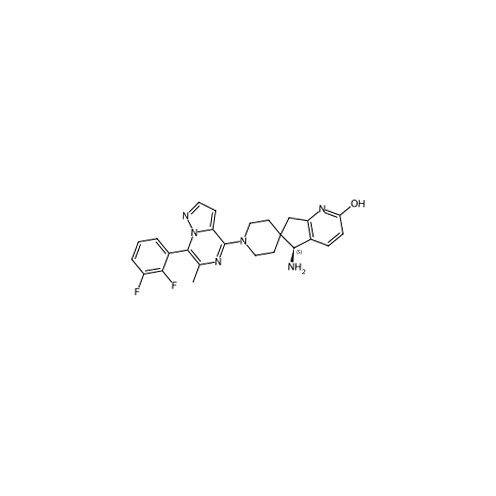 Cc1nc(N2CCC3(CC2)Cc2nc(O)ccc2[C@H]3N)c2ccnn2c1-c1cccc(F)c1F